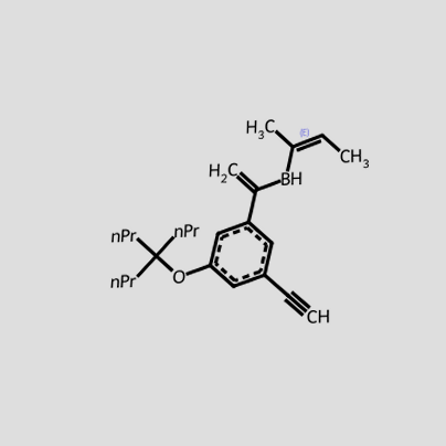 C#Cc1cc(OC(CCC)(CCC)CCC)cc(C(=C)B/C(C)=C\C)c1